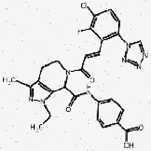 CCn1nc(C)c2c1C(C(=O)Nc1ccc(C(=O)O)cc1)N(C(=O)C=Cc1c(-n3cnnn3)ccc(Cl)c1F)CC2